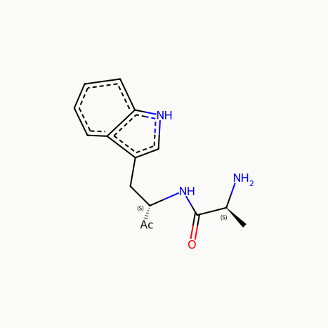 CC(=O)[C@H](Cc1c[nH]c2ccccc12)NC(=O)[C@H](C)N